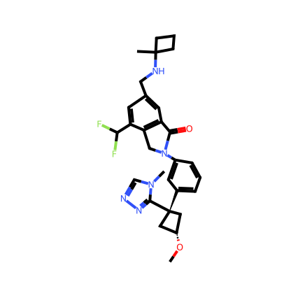 CO[C@H]1C[C@@](c2cccc(N3Cc4c(cc(CNC5(C)CCC5)cc4C(F)F)C3=O)c2)(c2nncn2C)C1